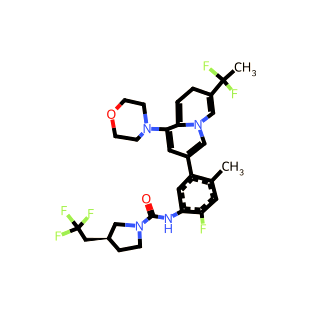 Cc1cc(F)c(NC(=O)N2CC[C@@H](CC(F)(F)F)C2)cc1C1=CN2C=C(C(C)(F)F)CC=C2C(N2CCOCC2)=C1